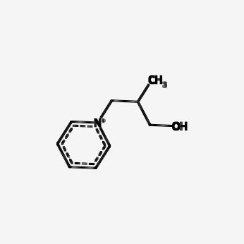 CC(CO)C[n+]1ccccc1